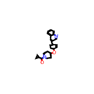 O=C(C1CC1)N1CCC(Oc2ccc(-c3cnc4ccccc4c3)cc2)CC1